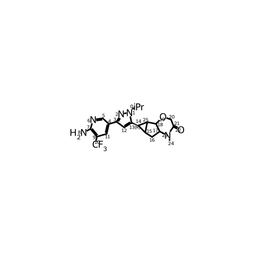 CC(C)n1nc(-c2cnc(N)c(C(F)(F)F)c2)cc1[C@@H]1C2CC3C(OCC(=O)N3C)C21